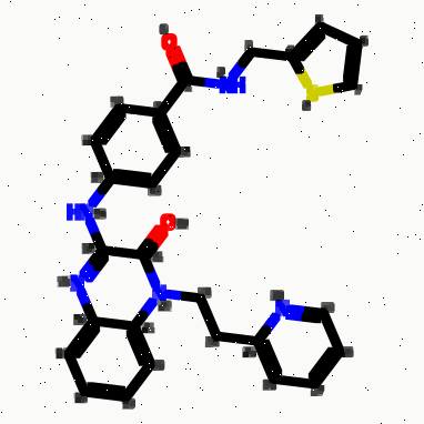 O=C(NCc1cccs1)c1ccc(Nc2nc3ccccc3n(CCc3ccccn3)c2=O)cc1